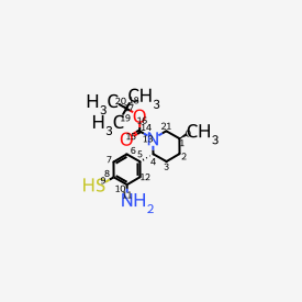 C[C@H]1CC[C@H](c2ccc(S)c(N)c2)N(C(=O)OC(C)(C)C)C1